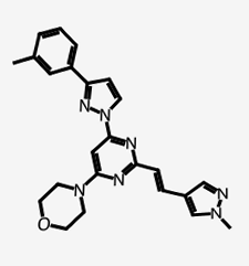 Cc1cccc(-c2ccn(-c3cc(N4CCOCC4)nc(/C=C/c4cnn(C)c4)n3)n2)c1